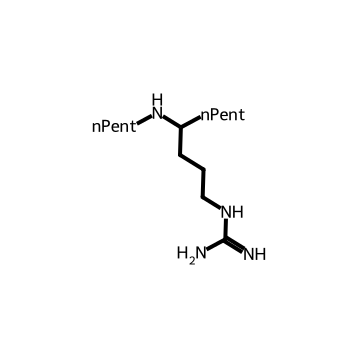 CCCCCNC(CCCCC)CCCNC(=N)N